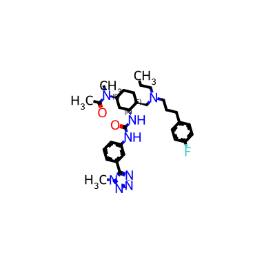 CCCN(CCCc1ccc(F)cc1)C[C@@H]1CC[C@H](N(C)C(C)=O)C[C@H]1NC(=O)Nc1cccc(-c2nnnn2C)c1